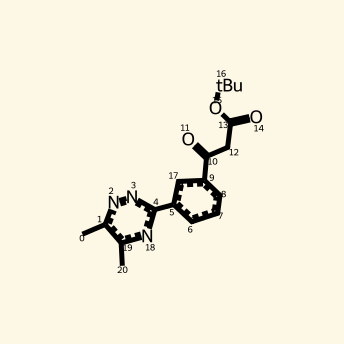 Cc1nnc(-c2cccc(C(=O)CC(=O)OC(C)(C)C)c2)nc1C